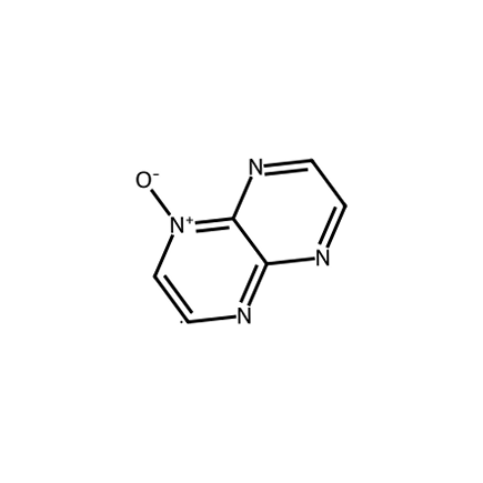 [O-][n+]1c[c]nc2nccnc21